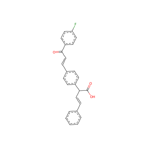 O=C(C=Cc1ccc(C(C=Cc2ccccc2)C(=O)O)cc1)c1ccc(F)cc1